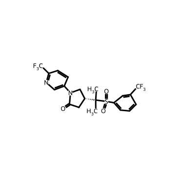 CC(C)([C@@H]1CC(=O)N(c2ccc(C(F)(F)F)nc2)C1)S(=O)(=O)c1cccc(C(F)(F)F)c1